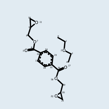 CCOCC.O=C(OCC1CO1)c1ccc(C(=O)OCC2CO2)cc1